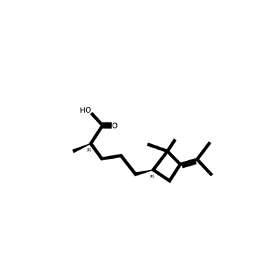 CC(C)=C1C[C@@H](CCC[C@@H](C)C(=O)O)C1(C)C